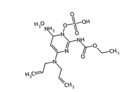 C=CCN(CC=C)C1=CC(N)N(OS(=O)(=O)O)C(NC(=O)OCC)=N1.O